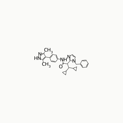 Cc1n[nH]c(C)c1-c1ccc(NC(=O)C(c2nccn2Cc2ccccc2)C(C2CC2)C2CC2)cc1